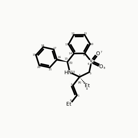 CCC=C[C@]1(CC)CS(=O)(=O)c2ccccc2[C@H](c2ccccc2)N1